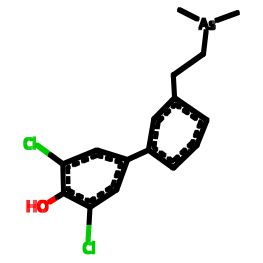 C[As](C)CCc1cccc(-c2cc(Cl)c(O)c(Cl)c2)c1